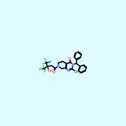 Cc1nc2c(c(=O)n1C(c1ccccc1)c1ccccc1)CCN(C(=O)CC(O)(C(F)(F)F)C(F)(F)F)C2